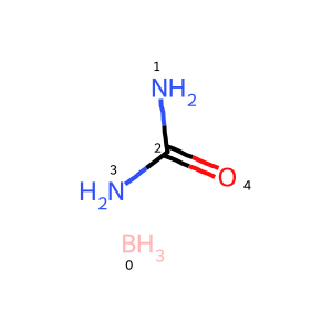 B.NC(N)=O